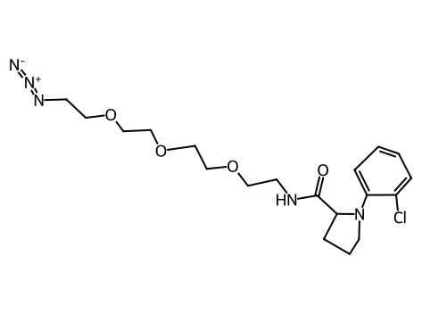 [N-]=[N+]=NCCOCCOCCOCCNC(=O)C1CCCN1c1ccccc1Cl